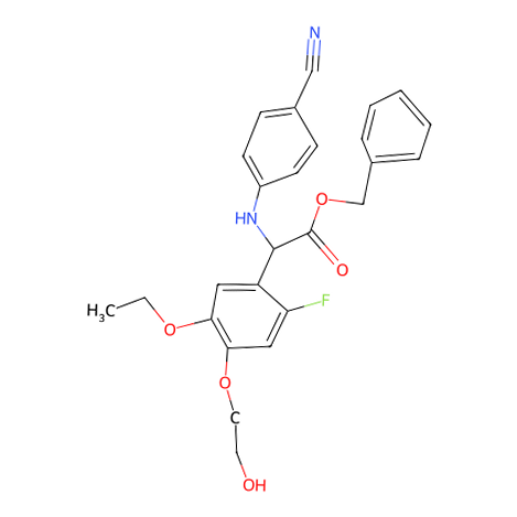 CCOc1cc(C(Nc2ccc(C#N)cc2)C(=O)OCc2ccccc2)c(F)cc1OCCO